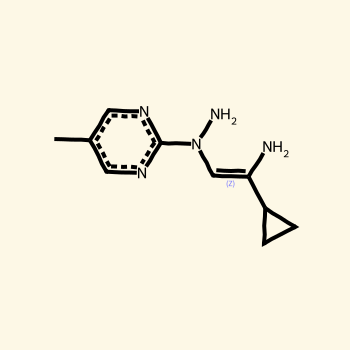 Cc1cnc(N(N)/C=C(\N)C2CC2)nc1